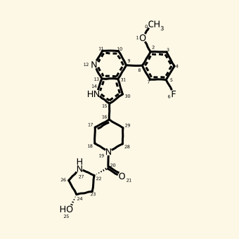 COc1ccc(F)cc1-c1ccnc2[nH]c(C3=CCN(C(=O)[C@@H]4C[C@H](O)CN4)CC3)cc12